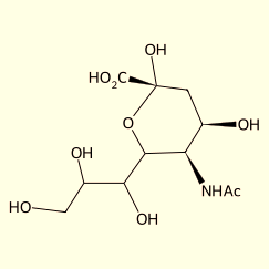 CC(=O)N[C@H]1C(C(O)C(O)CO)O[C@@](O)(C(=O)O)C[C@H]1O